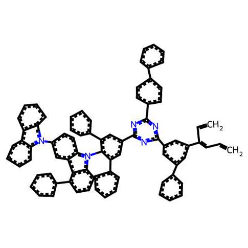 C=C/C=C(\C=C)c1cc(-c2ccccc2)cc(-c2nc(-c3ccc(-c4ccccc4)cc3)nc(-c3cc(-c4ccccc4)c(-n4c5ccc(-n6c7ccccc7c7ccccc76)cc5c5c(-c6ccccc6)cccc54)c(-c4ccccc4)c3)n2)c1